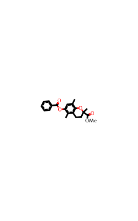 COC(=O)C1(C)CCc2c(C)c(OC(=O)c3ccccc3)cc(C)c2O1